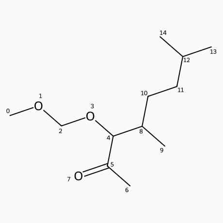 COCOC(C(C)=O)C(C)CCC(C)C